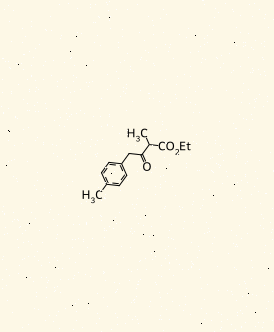 CCOC(=O)C(C)C(=O)Cc1ccc(C)cc1